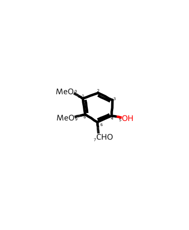 COc1ccc(O)c(C=O)c1OC